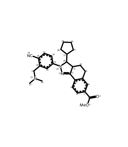 COC(=O)c1ccc2c(c1)CCC1C2=NN(c2ccc(C#N)c(CN(C)C)c2)C1C1CCCC1